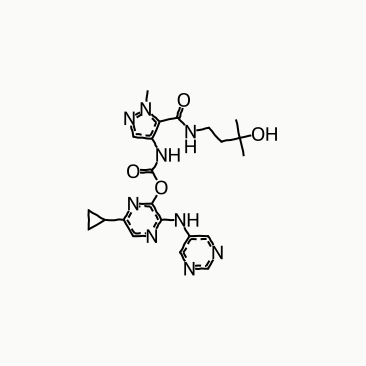 Cn1ncc(NC(=O)Oc2nc(C3CC3)cnc2Nc2cncnc2)c1C(=O)NCCC(C)(C)O